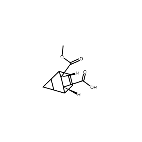 COC(=O)[C@H]1C2C=CC(C3CC32)[C@H]1C(=O)O